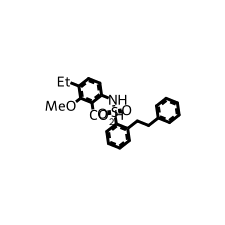 CCc1ccc(NS(=O)(=O)c2ccccc2CCc2ccccc2)c(C(=O)O)c1OC